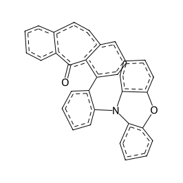 O=c1c2ccccc2ccc2cccc(-c3ccccc3N3c4ccccc4Oc4ccccc43)c12